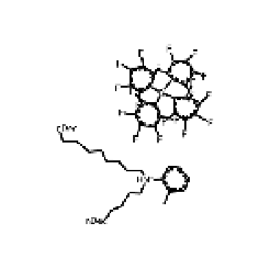 CCCCCCCCCCCCCCCCCC[NH+](CCCCCCCCCCCCCC)c1ccccc1C.Fc1c(F)c(F)c([B-](c2c(F)c(F)c(F)c(F)c2F)(c2c(F)c(F)c(F)c(F)c2F)c2c(F)c(F)c(F)c(F)c2F)c(F)c1F